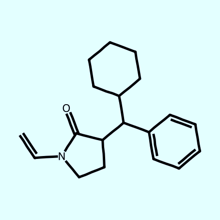 C=CN1CCC(C(c2ccccc2)C2CCCCC2)C1=O